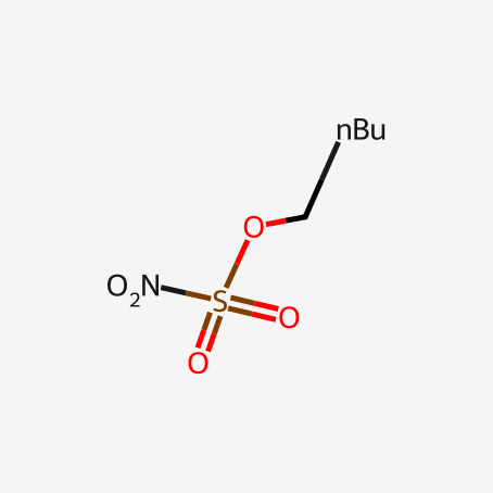 CCCCCOS(=O)(=O)[N+](=O)[O-]